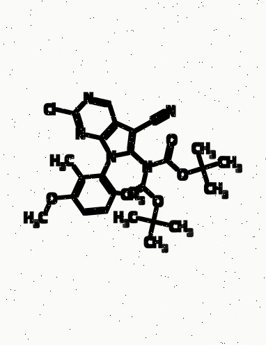 COc1ccc(C)c(-n2c(N(C(=O)OC(C)(C)C)C(=O)OC(C)(C)C)c(C#N)c3cnc(Cl)nc32)c1C